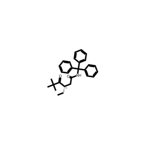 CC[C@@H](CC(=O)NC(c1ccccc1)(c1ccccc1)c1ccccc1)C(=O)C(C)(C)C